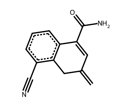 C=C1C=C(C(N)=O)c2cccc(C#N)c2C1